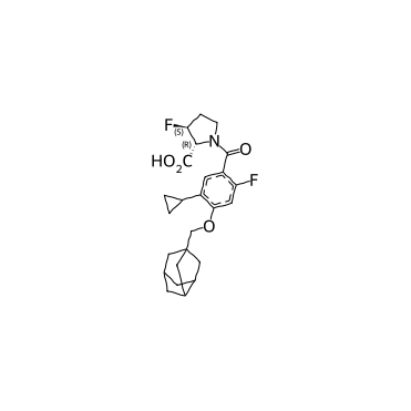 O=C(O)[C@@H]1[C@@H](F)CCN1C(=O)c1cc(C2CC2)c(OCC23CC4CC(C2)C(C4)C3)cc1F